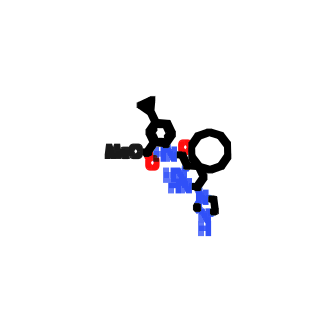 COC(=O)c1cc(C2CC2)ccc1NC(=O)C1NNC(N2CCNC2)CC12CCCCCCCCC2